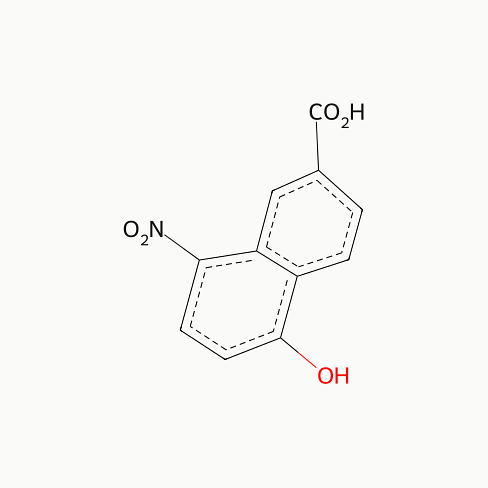 O=C(O)c1ccc2c(O)ccc([N+](=O)[O-])c2c1